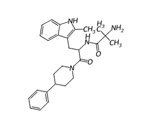 Cc1[nH]c2ccccc2c1CC(NC(=O)C(C)(C)N)C(=O)N1CCC(c2ccccc2)CC1